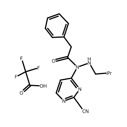 CC(C)CNN(C(=O)Cc1ccccc1)c1ccnc(C#N)n1.O=C(O)C(F)(F)F